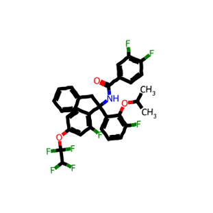 CC(C)Oc1c(F)cccc1C(Cc1ccccc1)(NC(=O)c1ccc(F)c(F)c1)c1ccc(OC(F)(F)C(F)F)cc1F